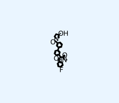 CNC(=O)C1c2cc(-c3cccc(C(=O)N4CC[C@@H](O)C4)c3)ccc2OC1c1ccc(F)cc1